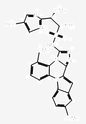 COc1ccc2c(c1)cc1c3nnc(NS(=O)(=O)[C@@H](C)[C@H](OC)c4ncc(C)cn4)n3c3c(OC)cccc3n21